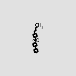 C=CCCCc1ccc(C(=O)Oc2ccc(-c3ccccc3)cc2)cc1